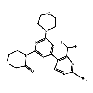 Nc1ncc(-c2nc(N3CCOCC3)nc(N3CCOCC3=O)n2)c(C(F)F)n1